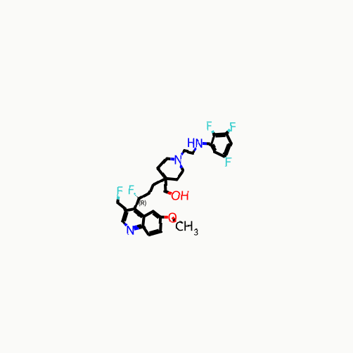 COc1ccc2ncc(CF)c([C@H](F)CCC3(CO)CCN(CCNc4cc(F)cc(F)c4F)CC3)c2c1